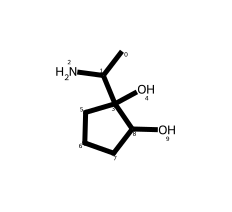 CC(N)C1(O)CCCC1O